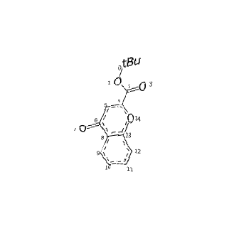 CC(C)(C)OC(=O)c1cc(=O)c2ccccc2o1